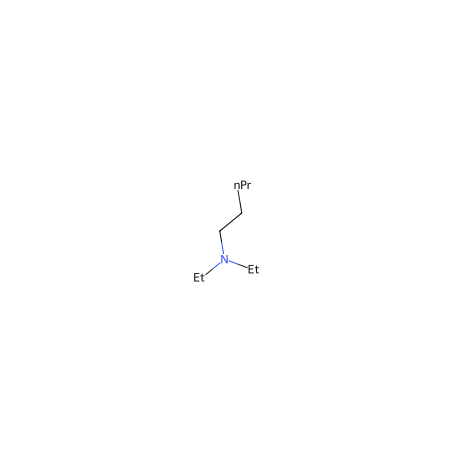 [CH2]CN(CC)CCCCC